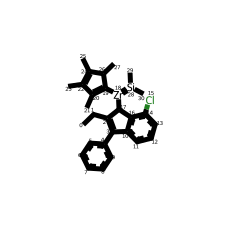 CCC1=C(c2ccccc2)c2cccc(Cl)c2[CH]1[Zr]([C]1=C(C)C(C)=C(C)C1C)=[Si](C)C